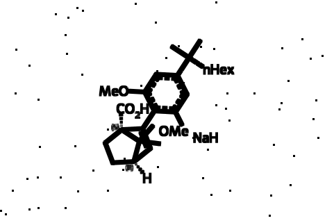 CCCCCCC(C)(C)c1cc(OC)c(C2=C[C@H]3CC[C@]2(C(=O)O)C3(C)C)c(OC)c1.[NaH]